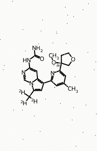 [2H]C([2H])([2H])c1cc(-c2cc(C)cc([C@]3(OC)CCOC3)n2)c2cc(NC(N)=O)ncn12